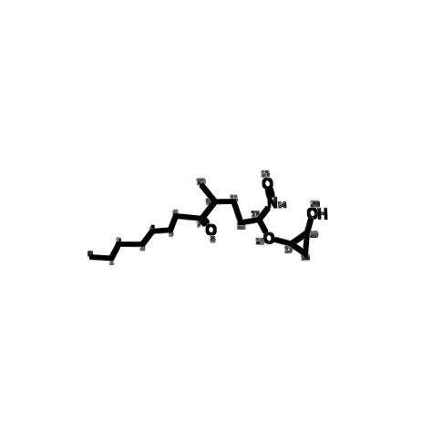 CCCCCCCC(=O)C(C)CCC(N=O)OC1CC1O